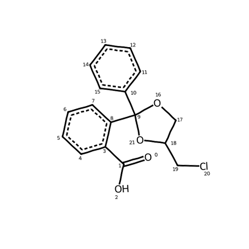 O=C(O)c1ccccc1C1(c2ccccc2)OCC(CCl)O1